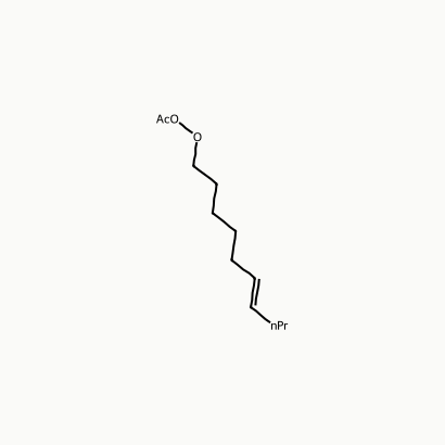 CCCC=CCCCCCOOC(C)=O